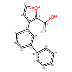 O=C(O)c1occc1-c1cccc(-c2ccccc2)c1